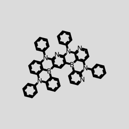 c1ccc(N2c3ccccc3B3c4cc5c(nc4N(c4ccccc4)c4cccc2c43)N(c2ccccc2)c2nccc3c2B5c2cccnc2N3c2ccccc2)cc1